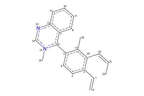 C=Cc1ccc(-c2c3ccccc3nc[n+]2C)c(C)c1/C=C\C